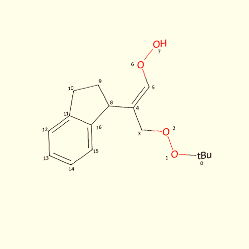 CC(C)(C)OOC/C(=C/OO)C1CCc2ccccc21